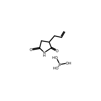 C=CCC1CC(=O)NC1=O.OB(O)O